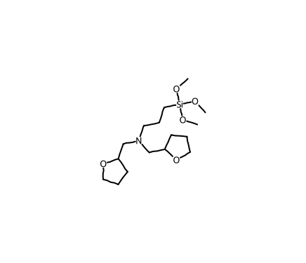 CO[Si](CCCN(CC1CCCO1)CC1CCCO1)(OC)OC